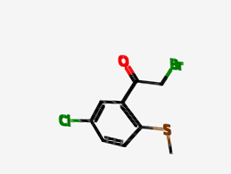 CSc1ccc(Cl)cc1C(=O)CBr